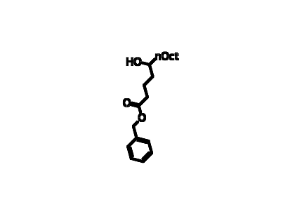 CCCCCCCCC(O)CCCC(=O)OCc1ccccc1